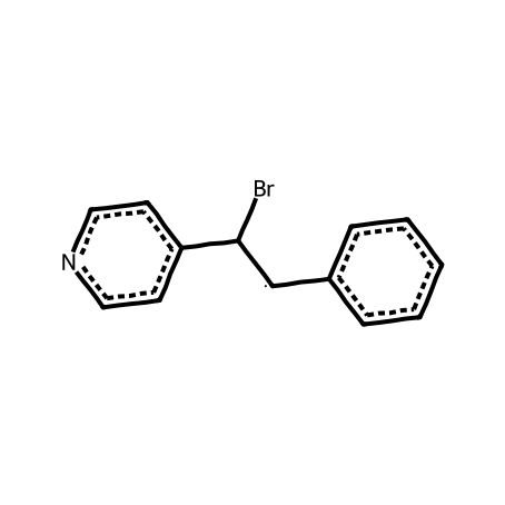 BrC([CH]c1ccccc1)c1ccncc1